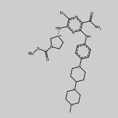 CCc1nc(C(N)=O)c(Nc2ccc(N3CCC(N4CCN(C)CC4)CC3)cc2)nc1N[C@@H]1CCN(C(=O)OC(C)(C)C)C1